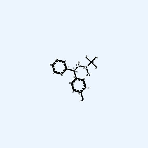 CC(C)(C)[S+]([O-])N[C@H](c1ccccc1)c1ccc(F)cc1